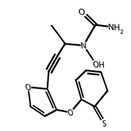 CC(C#Cc1occc1OC1=CC=CCC1=S)N(O)C(N)=O